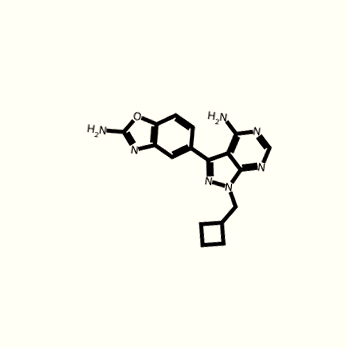 Nc1nc2cc(-c3nn(CC4CCC4)c4ncnc(N)c34)ccc2o1